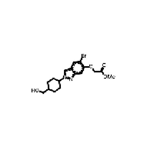 COC(=O)COc1cc2nn(C3CCC(CO)CC3)cc2cc1Br